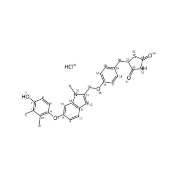 Cc1c(O)ccc(Oc2ccc3nc(COc4ccc(CC5SC(=O)NC5=O)cc4)n(C)c3c2)c1C.Cl